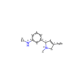 CCCC1=CC(c2cccc(NCC)c2)N(C)C1